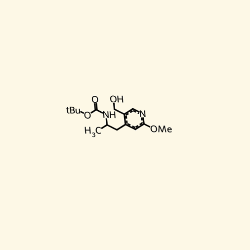 COc1cc(CC(C)NC(=O)OC(C)(C)C)c(CO)cn1